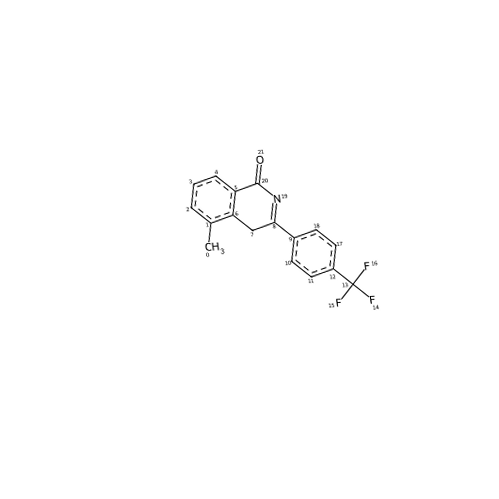 Cc1cccc2c1CC(c1ccc(C(F)(F)F)cc1)=NC2=O